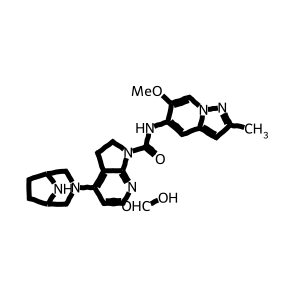 COc1cn2nc(C)cc2cc1NC(=O)N1CCc2c(N3CC4CCC(C3)N4)ccnc21.O=CO